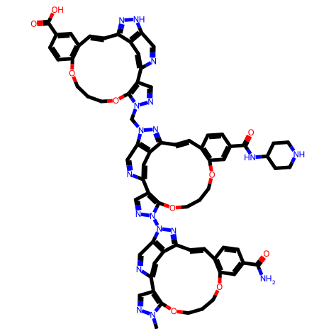 Cn1ncc2c1OCCCOc1cc(C(N)=O)ccc1/C=C/c1nn(-n3ncc4c3OCCCOc3cc(C(=O)NC5CCNCC5)ccc3/C=C/c3nn(Cn5ncc6c5OCCCOc5ccc(C(=O)O)cc5/C=C/c5n[nH]c7cnc-6cc57)c5cnc-4cc35)c3cnc-2cc13